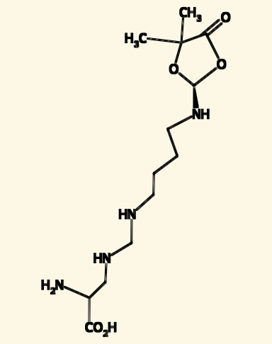 CC1(C)O[C@H](NCCCCNCNCC(N)C(=O)O)OC1=O